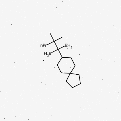 BC(B)(C1CCC2(CCCC2)CC1)C(C)(C)CCC